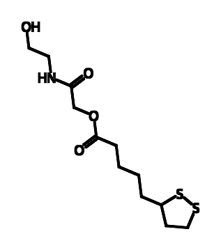 O=C(COC(=O)CCCCC1CCSS1)NCCO